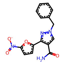 NC(=O)c1cn(Cc2ccccc2)nc1-c1ccc([N+](=O)[O-])o1